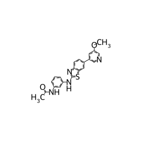 COc1cncc(-c2ccc3nc(Nc4cccc(NC(C)=O)c4)sc3c2)c1